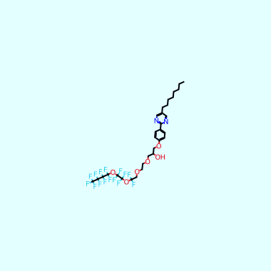 CCCCCCCCc1cnc(-c2ccc(OCC(O)COCCOCC(F)(F)OC(F)(F)C(F)(F)OC(F)(F)C(F)(F)C(F)(F)C(F)(F)F)cc2)nc1